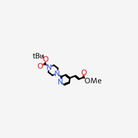 COC(=O)/C=C/c1ccnc(N2CCN(C(=O)OC(C)(C)C)CC2)c1